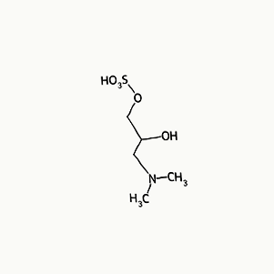 CN(C)CC(O)COS(=O)(=O)O